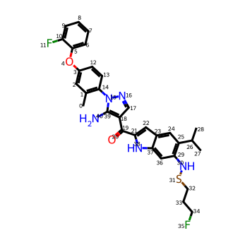 Cc1cc(Oc2ccccc2F)ccc1-n1ncc(C(=O)c2cc3cc(C(C)C)c(NSCCCF)cc3[nH]2)c1N